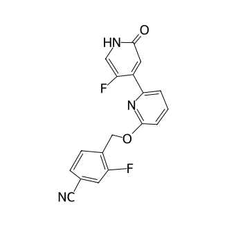 N#Cc1ccc(COc2cccc(-c3cc(=O)[nH]cc3F)n2)c(F)c1